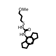 COCCCSNC(=O)Nc1c2c(cc3c1CCC3)CCC2